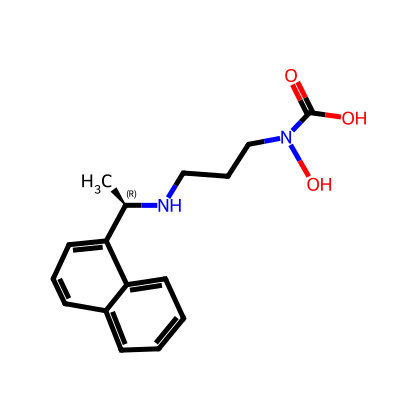 C[C@@H](NCCCN(O)C(=O)O)c1cccc2ccccc12